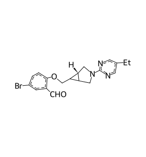 CCc1cnc(N2CC3C(COc4ccc(Br)cc4C=O)[C@@H]3C2)nc1